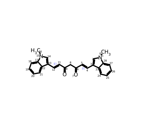 Cn1cc(/C=C/C(=O)CC(=O)/C=C/c2cn(C)c3ccccc23)c2ccccc21